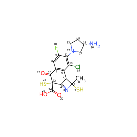 CC1(S)N=C2C1c1c(cc(F)c(N3CC[C@H](N)C3)c1Cl)C(=O)C2(S)C(=O)O